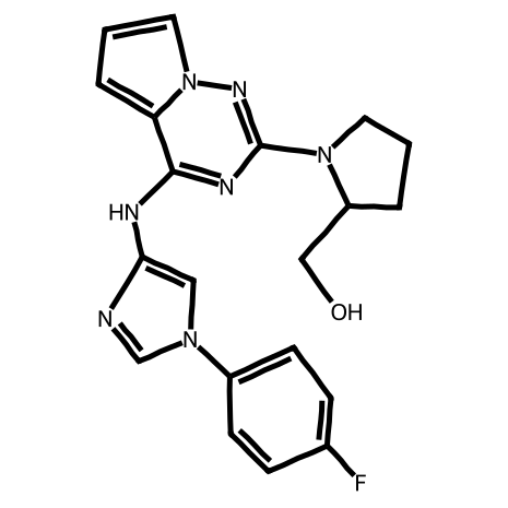 OCC1CCCN1c1nc(Nc2cn(-c3ccc(F)cc3)cn2)c2cccn2n1